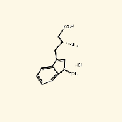 Cl.Cn1cc(C[C@@H](N)CC(=O)O)c2ccccc21